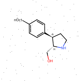 CCCCCCCCc1ccc([C@H]2CCN[C@@H]2CO)cc1